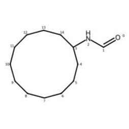 O=CNC1CCCCCCCCCCC1